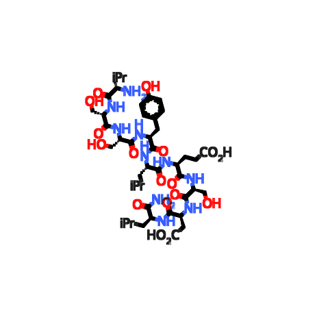 CC(C)C[C@H](NC(=O)[C@H](CC(=O)O)NC(=O)[C@H](CO)NC(=O)[C@H](CCC(=O)O)NC(=O)[C@H](CC(C)C)NC(=O)[C@H](Cc1ccc(O)cc1)NC(=O)[C@H](CO)NC(=O)[C@H](CO)NC(=O)[C@@H](N)C(C)C)C(N)=O